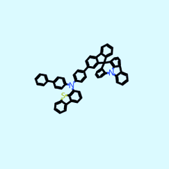 c1ccc(-c2ccc(N(c3ccc(-c4ccc5c(c4)C4(c6ccccc6-5)c5ccccc5-n5c6ccccc6c6cccc4c65)cc3)c3cccc4c3sc3ccccc34)cc2)cc1